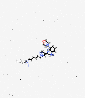 O=C(O)NCCCCCCn1cc(-c2cnc3cccc(N4CCOCC4)c3n2)cn1